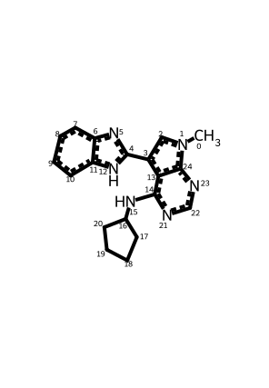 Cn1cc(-c2nc3ccccc3[nH]2)c2c(NC3CCCC3)ncnc21